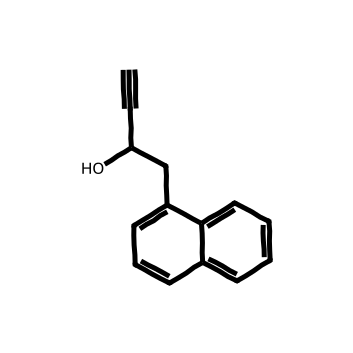 C#CC(O)Cc1cccc2ccccc12